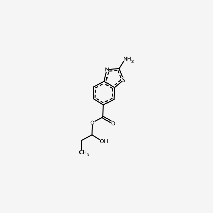 CCC(O)OC(=O)c1ccc2nc(N)sc2c1